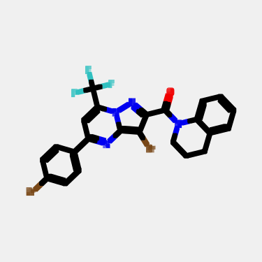 O=C(c1nn2c(C(F)(F)F)cc(-c3ccc(Br)cc3)nc2c1Br)N1CCCc2ccccc21